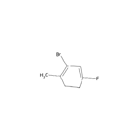 CC1=C(Br)C=C(F)CC1